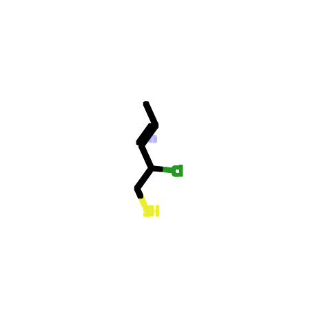 C/C=C/C(Cl)CS